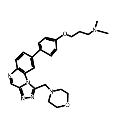 CN(C)CCCOc1ccc(-c2ccc3ncc4nnc(CN5CCOCC5)n4c3c2)cc1